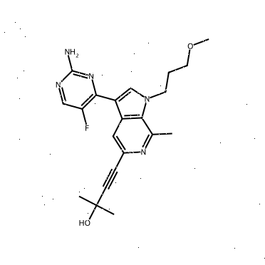 COCCCn1cc(-c2nc(N)ncc2F)c2cc(C#CC(C)(C)O)nc(C)c21